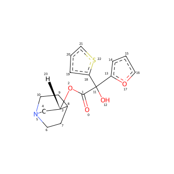 O=C(O[C@H]1CN2CCC1CC2)C(O)(c1ccco1)c1cccs1